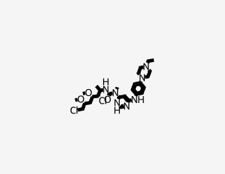 CCN1CCN(c2ccc(NC3=CC(N(C)C(=O)NC(C)C(Cl)C(CC(CCl)OC)OC)NC=N3)cc2)CC1